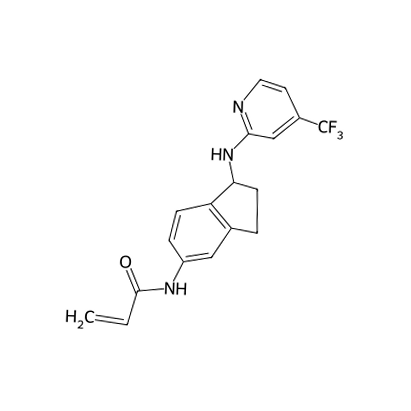 C=CC(=O)Nc1ccc2c(c1)CCC2Nc1cc(C(F)(F)F)ccn1